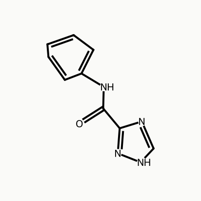 O=C(Nc1ccccc1)c1nc[nH]n1